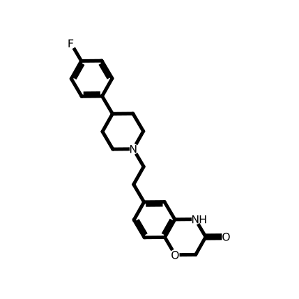 O=C1COc2ccc(CCN3CCC(c4ccc(F)cc4)CC3)cc2N1